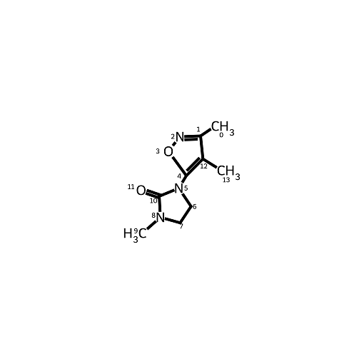 Cc1noc(N2CCN(C)C2=O)c1C